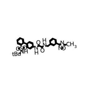 Cc1nc(-c2cccc(CNC(=O)C(=O)Nc3ccc(-c4ccccc4S(=O)(=O)NC(C)(C)C)cc3)c2)no1